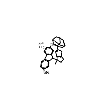 CC(C)(C)c1ccc2c(c1)C(C1(C)CCC3=C1C=C(C14CC5CC(CC(C5)C1)C4)C3)c1cc(C(C)(C)C)ccc1-2.[Cl-].[Cl-].[Zr+2]